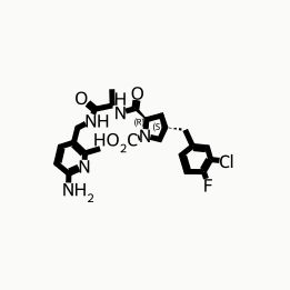 Cc1nc(N)ccc1CNC(=O)C(C)NC(=O)[C@H]1C[C@H](Cc2ccc(F)c(Cl)c2)CN1C(=O)O